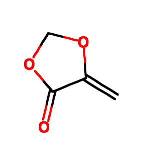 C=C1OCOC1=O